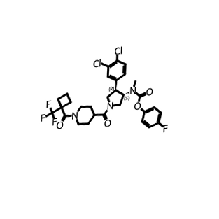 CN(C(=O)Oc1ccc(F)cc1)[C@@H]1CN(C(=O)C2CCN(C(=O)C3(C(F)(F)F)CCC3)CC2)C[C@H]1c1ccc(Cl)c(Cl)c1